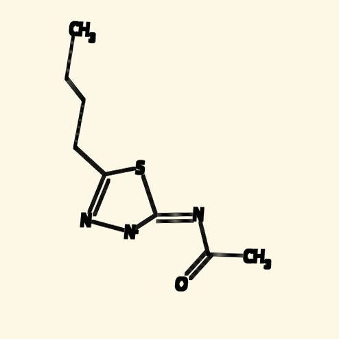 CCCCC1=N[N]C(=NC(C)=O)S1